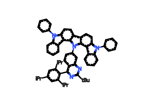 CC(C)c1cc(C(C)C)c(-c2nc(C(C)(C)C)nc3cc(-n4c5c(ccc6c5c5ccccc5n6-c5ccccc5)c5ccc6c(c7ccccc7n6-c6ccccc6)c54)ccc23)c(C(C)C)c1